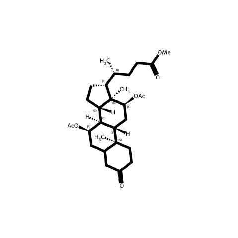 COC(=O)CC[C@@H](C)[C@H]1CC[C@H]2[C@@H]3[C@H](OC(C)=O)CC4CC(=O)CC[C@]4(C)[C@H]3C[C@H](OC(C)=O)[C@]12C